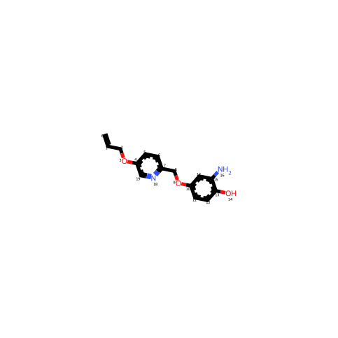 C=CCOc1ccc(COc2ccc(O)c(N)c2)nc1